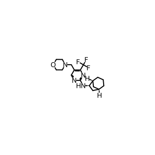 FC(F)(F)c1nc(N[C@@H]2C[C@H]3CCC[C@@H]2C3)ncc1CN1CCOCC1